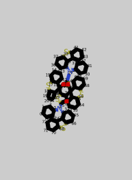 c1ccc(N(c2cc3c(s2)C2(c4ccccc4Sc4ccccc42)c2cc(N(c4ccccc4)c4cccc5sc6ccccc6c45)sc2C32c3ccccc3Sc3ccccc32)c2cccc3sc4ccccc4c23)cc1